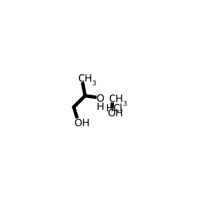 CC(O)CO.CO.Cl